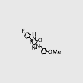 COc1cccc(Cn2cnc3nc(-c4ccc(F)cc4)[nH]c(=O)c32)c1